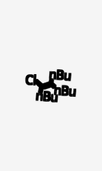 CCCCC(Cl)=C(CCCC)CCCC